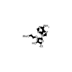 CC[C@H]1O[C@@H](n2cnc3c(N)ncnc32)[C@H](OCCOC)[C@@H]1O